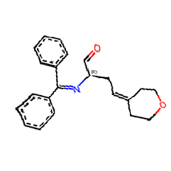 O=C[C@@H](CC=C1CCOCC1)N=C(c1ccccc1)c1ccccc1